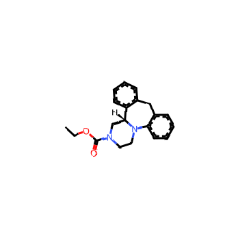 CCOC(=O)N1CCN2c3ccccc3Cc3ccccc3[C@H]2C1